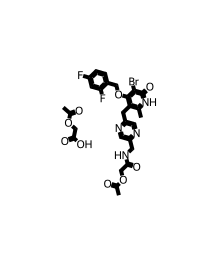 CC(=O)OCC(=O)NCc1cnc(Cc2c(C)[nH]c(=O)c(Br)c2OCc2ccc(F)cc2F)cn1.CC(=O)OCC(=O)O